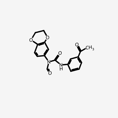 CC(=O)c1cccc(NC(=O)N(C=O)c2ccc3c(c2)OCCO3)c1